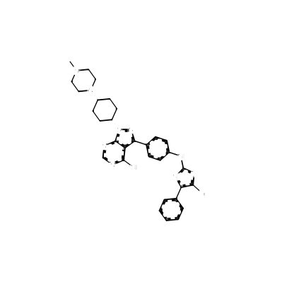 CCCc1sc(Nc2ccc(-c3nn([C@H]4CC[C@@H](N5CCN(C)CC5)CC4)c4ncnc(N)c34)cc2)nc1-c1ccccc1